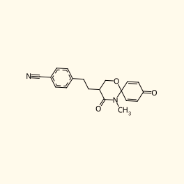 CN1C(=O)C(CCc2ccc(C#N)cc2)COC12C=CC(=O)C=C2